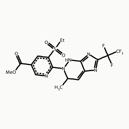 CCS(=O)(=O)c1cc(C(=O)OC)cnc1N1NC2=NC(C(F)(F)C(F)(F)F)=NC2=CC1C